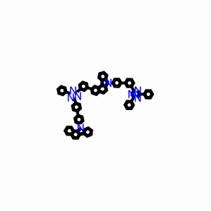 c1ccc(-c2nc(-c3ccccc3)nc(-c3cccc(-c4ccc(-n5c6ccccc6c6c7cc(-c8cccc(-c9nc(-c%10ccccc%10)nc(-c%10ccc(-c%11ccc(-n%12c%13ccccc%13c%13ccc%14ccccc%14c%13%12)cc%11)cc%10)n9)c8)ccc7ccc65)cc4)c3)n2)cc1